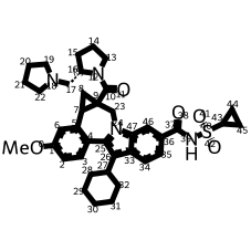 COc1ccc2c(c1)C1CC1(C(=O)N1CCC[C@H]1CN1CCCC1)Cn1c-2c(C2CCCCC2)c2ccc(C(=O)NS(=O)(=O)C3CC3)cc21